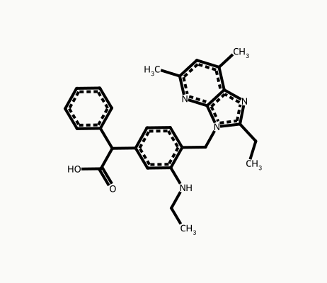 CCNc1cc(C(C(=O)O)c2ccccc2)ccc1Cn1c(CC)nc2c(C)cc(C)nc21